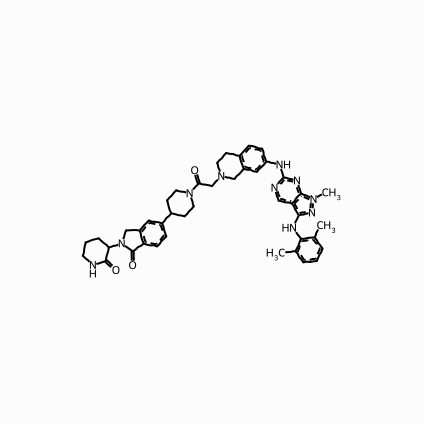 Cc1cccc(C)c1Nc1nn(C)c2nc(Nc3ccc4c(c3)CN(CC(=O)N3CCC(c5ccc6c(c5)CN(C5CCCNC5=O)C6=O)CC3)CC4)ncc12